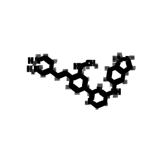 CNc1cc(-c2nccc(Nc3ccc4[nH]ncc4c3)n2)ccc1/C=C/C(/C=C\N)=C/N